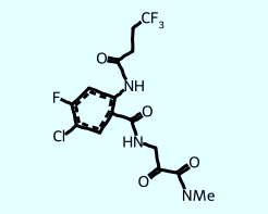 CNC(=O)C(=O)CNC(=O)c1cc(Cl)c(F)cc1NC(=O)CCC(F)(F)F